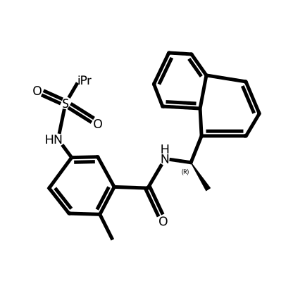 Cc1ccc(NS(=O)(=O)C(C)C)cc1C(=O)N[C@H](C)c1cccc2ccccc12